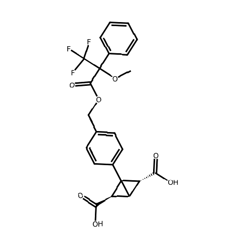 COC(C(=O)OCc1ccc(C23C([C@H]2C(=O)O)[C@H]3C(=O)O)cc1)(c1ccccc1)C(F)(F)F